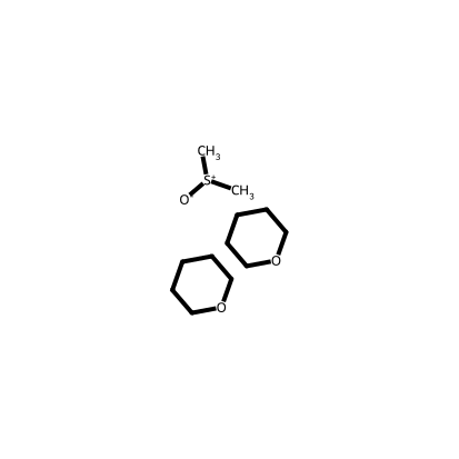 C1CCOCC1.C1CCOCC1.C[S+](C)[O-]